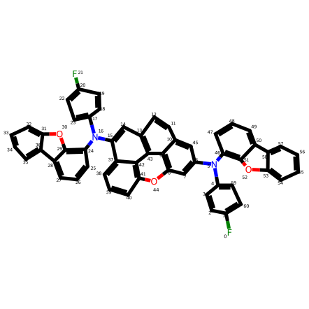 Fc1ccc(N(c2cc3c4c(ccc5cc(N(c6ccc(F)cc6)c6cccc7c6oc6ccccc67)c6cccc(c6c54)O3)c2)c2cccc3c2oc2ccccc23)cc1